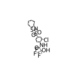 CC(O)(C(=O)Nc1ccc(S(=O)(=O)c2nc3ccccc3s2)cc1Cl)C(F)(F)F